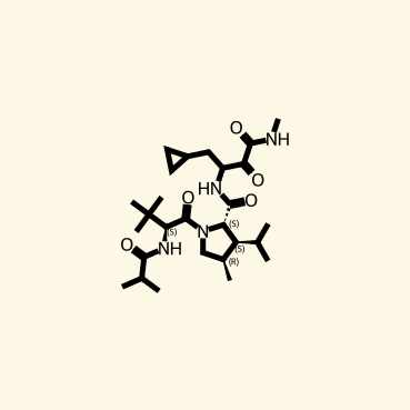 CNC(=O)C(=O)C(CC1CC1)NC(=O)[C@@H]1[C@@H](C(C)C)[C@@H](C)CN1C(=O)[C@@H](NC(=O)C(C)C)C(C)(C)C